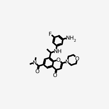 CC(Nc1cc(N)cc(F)c1)c1cc(C(=O)N(C)C)cc2c(=O)cc(N3CCOCC3)oc12